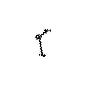 O=C(O)CCCCCCCCCCOc1ccccc1SCCCCC(=O)O